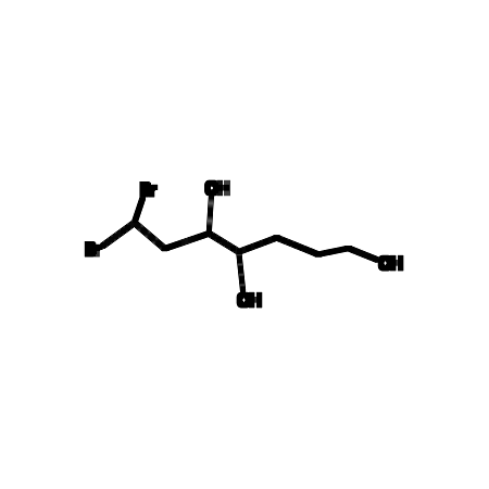 OCCCC(O)C(O)CC(Br)Br